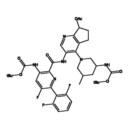 CC(=O)OC1CCc2c1ncc(NC(=O)c1nc(-c3c(F)cccc3F)c(F)cc1NC(=O)OC(C)(C)C)c2N1CC(C)CC(NC(=O)OC(C)(C)C)C1